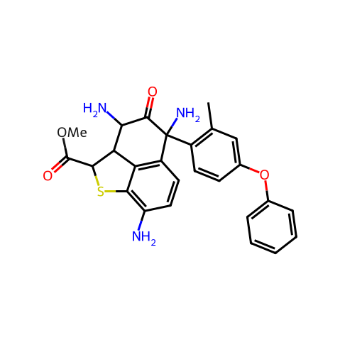 COC(=O)C1Sc2c(N)ccc3c2C1C(N)C(=O)C3(N)c1ccc(Oc2ccccc2)cc1C